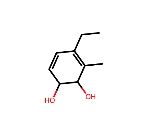 CCC1=C(C)C(O)C(O)C=C1